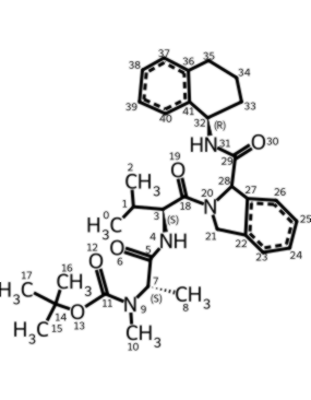 CC(C)[C@H](NC(=O)[C@H](C)N(C)C(=O)OC(C)(C)C)C(=O)N1Cc2ccccc2C1C(=O)N[C@@H]1CCCc2ccccc21